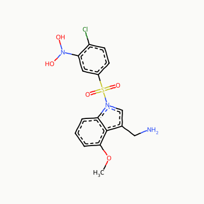 COc1cccc2c1c(CN)cn2S(=O)(=O)c1ccc(Cl)c(N(O)O)c1